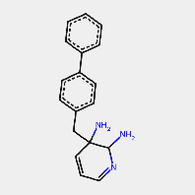 NC1N=CC=CC1(N)Cc1ccc(-c2ccccc2)cc1